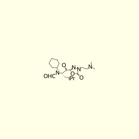 CC(C)C[C@@H](C(=O)c1nn(CCN(C)C)c(=O)o1)N(C=O)C1CCCCC1